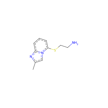 Cc1cn2c(SCCN)cccc2n1